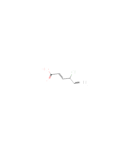 C=CC(Cl)C=CC(=O)O